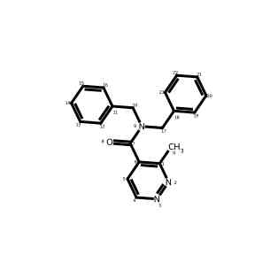 Cc1nnccc1C(=O)N(Cc1ccccc1)Cc1ccccc1